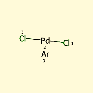 [Ar].[Cl][Pd][Cl]